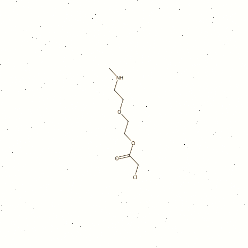 CNCCOCCOC(=O)CCl